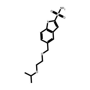 CC(C)OCCOCc1ccc2sc(S(N)(=O)=O)cc2c1